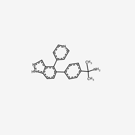 CC(C)(N)c1ccc(-c2ccc3[nH]ncc3c2-c2ccncc2)cc1